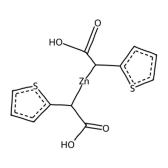 O=C(O)[CH]([Zn][CH](C(=O)O)c1cccs1)c1cccs1